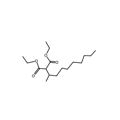 CCCCCCCCC(C)C(C(=O)OCC)C(=O)OCC